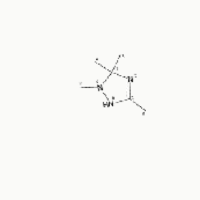 CC1=NC(C)(C)N(C)N1